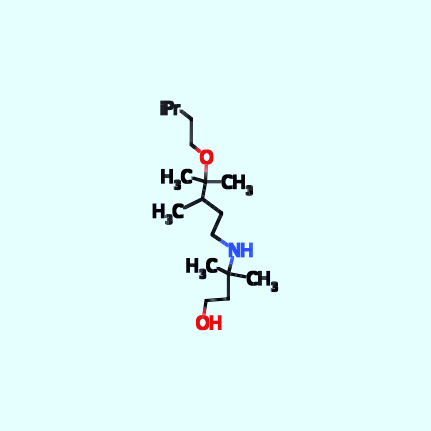 CC(C)CCOC(C)(C)C(C)CCNC(C)(C)CCO